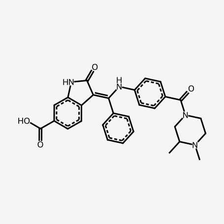 CC1CN(C(=O)c2ccc(N/C(=C3\C(=O)Nc4cc(C(=O)O)ccc43)c3ccccc3)cc2)CCN1C